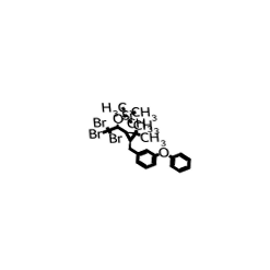 CC1(C)[C@H]([C@@H](O[Si](C)(C)C)C(Br)(Br)Br)[C@@H]1Cc1cccc(Oc2ccccc2)c1